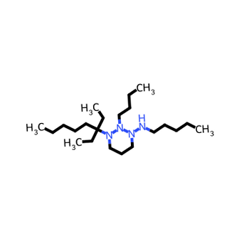 CCCCCNN1CCCN(C(CC)(CC)CCCCC)N1CCCC